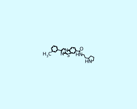 Cc1cccc(-c2cn3c(n2)sc2cc(C(=O)NCCC4CCCN4)ccc23)c1